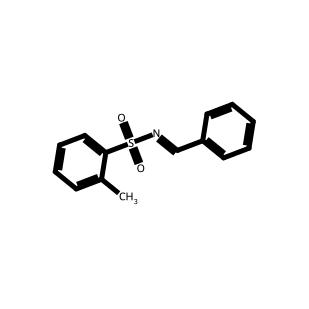 Cc1ccccc1S(=O)(=O)N=Cc1ccccc1